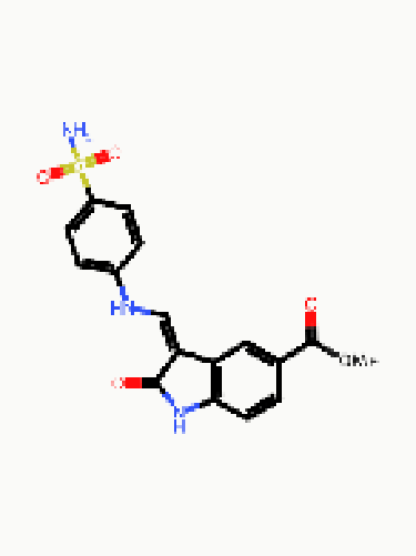 COC(=O)c1ccc2c(c1)/C(=C/Nc1ccc(S(N)(=O)=O)cc1)C(=O)N2